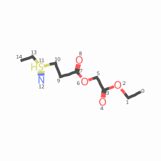 CCOC(=O)COC(=O)CC[SH](#N)CC